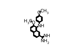 COc1ccc(Nc2c(OC)ccc3ccc(C(=N)N)cc23)cc1